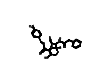 O=C(Cc1ccccc1)N[C@@H]1C(=O)N2C(C(=O)OCc3ccc([N+](=O)[O-])cc3)C(O)CS[C@@H]12